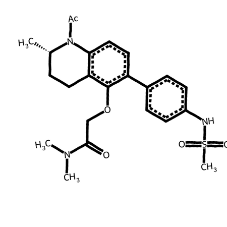 CC(=O)N1c2ccc(-c3ccc(NS(C)(=O)=O)cc3)c(OCC(=O)N(C)C)c2CC[C@@H]1C